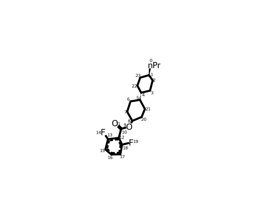 CCC[C@H]1CC[C@H](C2CCC(OC(=O)c3c(F)cccc3F)CC2)CC1